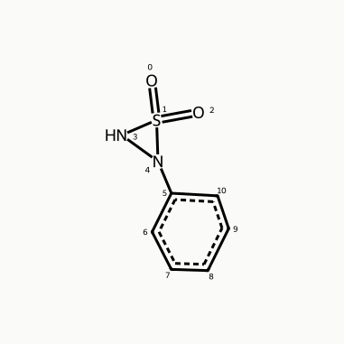 O=S1(=O)NN1c1ccccc1